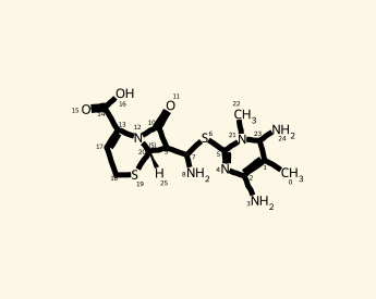 CC1=C(N)N=C(SC(N)C2C(=O)N3C(C(=O)O)=CCS[C@@H]23)N(C)C1N